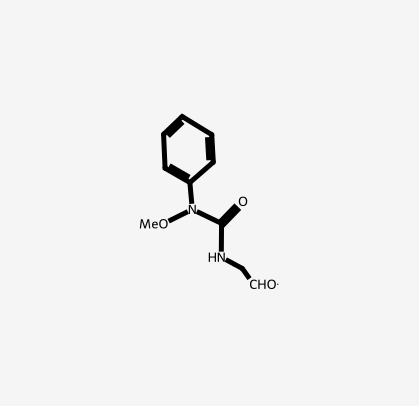 CON(C(=O)NC[C]=O)c1ccccc1